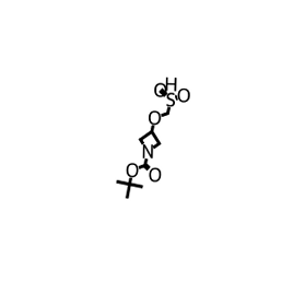 CC(C)(C)OC(=O)N1CC(OC[SH](=O)=O)C1